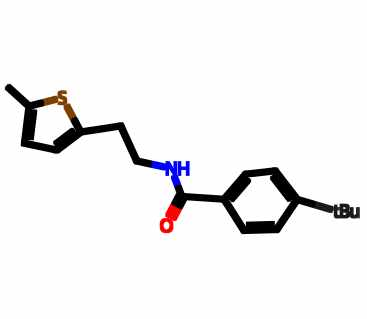 Cc1ccc(CCNC(=O)c2ccc(C(C)(C)C)cc2)s1